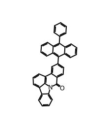 O=c1c2ccc(-c3c4ccccc4c(-c4ccccc4)c4ccccc34)cc2c2cccc3c4ccccc4n1c23